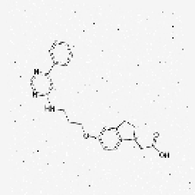 O=C(O)C[C@@H]1CCc2cc(OCCCNc3cc(-c4ccccc4)ncn3)ccc21